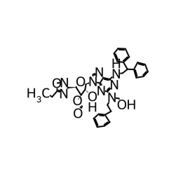 CCc1nc([C@H]2O[C@@H](n3cnc4c(NCC(c5ccccc5)c5ccccc5)nc(N(CO)CCc5ccccc5)nc43)[C@H](O)[C@@H]2OC=O)no1